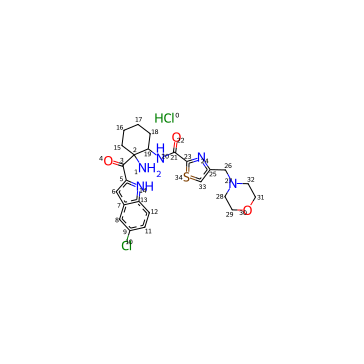 Cl.NC1(C(=O)c2cc3cc(Cl)ccc3[nH]2)CCCCC1NC(=O)c1nc(CN2CCOCC2)cs1